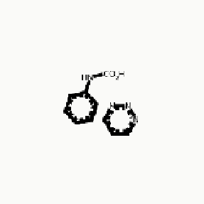 O=C(O)Nc1ccccc1.c1cnnnc1